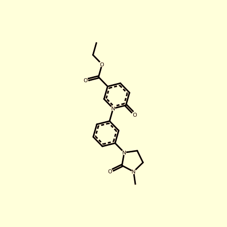 CCOC(=O)c1ccc(=O)n(-c2cccc(N3CCN(C)C3=O)c2)c1